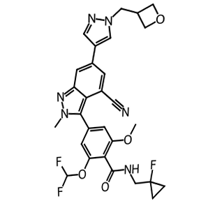 COc1cc(-c2c3c(C#N)cc(-c4cnn(CC5COC5)c4)cc3nn2C)cc(OC(F)F)c1C(=O)NCC1(F)CC1